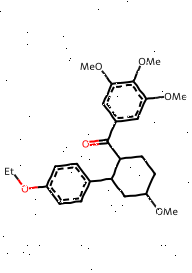 CCOc1ccc(C2CC(OC)CCC2C(=O)c2cc(OC)c(OC)c(OC)c2)cc1